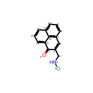 O=C1C(CNCl)=Cc2cccc3cccc1c23